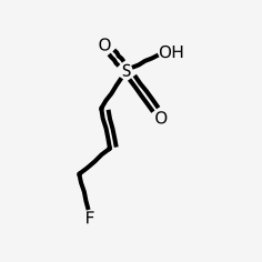 O=S(=O)(O)C=CCF